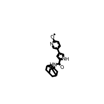 COc1ccc(-c2c[nH]c(C(=O)NC34CC5CC(CC(C5)C3)C4)c2)cn1